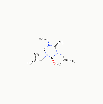 C=C(C)CN1CN(CC(C)=O)C(=C)N(CC(=C)C)C1=O